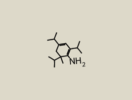 CC(C)C1=CC(C(C)C)=C(N)C(C)(C(C)C)C1